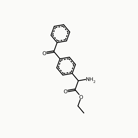 CCOC(=O)C(N)c1ccc(C(=O)c2ccccc2)cc1